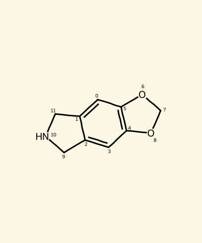 c1c2c(cc3c1OCO3)CNC2